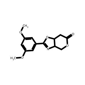 COc1cc(OC)cc(C2=NC3COC(=O)CC3O2)c1